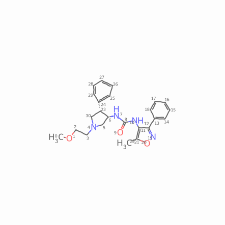 COCCN1C[C@H](NC(=O)Nc2c(-c3ccccc3)noc2C)[C@@H](c2ccccc2)C1